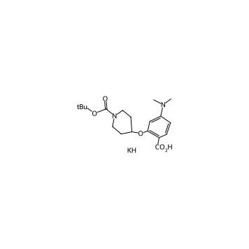 CN(C)c1ccc(C(=O)O)c(OC2CCN(C(=O)OC(C)(C)C)CC2)c1.[KH]